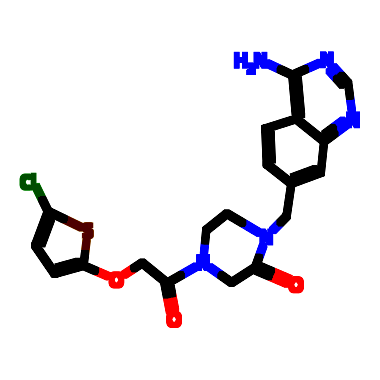 Nc1ncnc2cc(CN3CCN(C(=O)COc4ccc(Cl)s4)CC3=O)ccc12